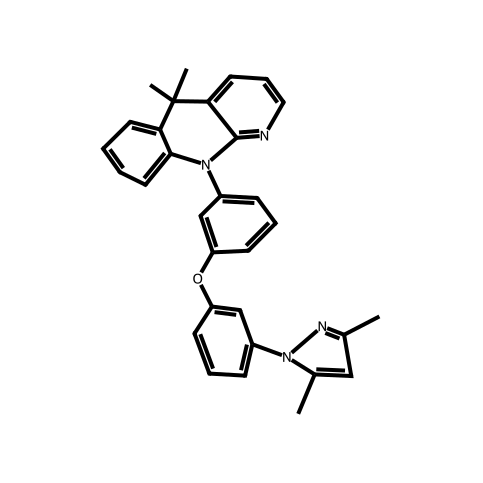 Cc1cc(C)n(-c2cccc(Oc3cccc(N4c5ccccc5C(C)(C)c5cccnc54)c3)c2)n1